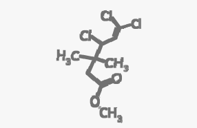 COC(=O)CC(C)(C)C(Cl)C=C(Cl)Cl